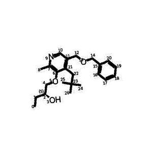 CC[C@H](O)COc1c(C)ncc(COCc2ccccc2)c1CC(C)(C)C